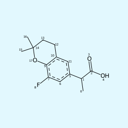 CC(C(=O)O)c1cc(F)c2c(c1)CCC(C)(C)O2